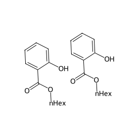 CCCCCCOC(=O)c1ccccc1O.CCCCCCOC(=O)c1ccccc1O